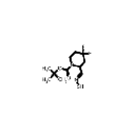 CC(C)(C)OC(=O)N1CCC(F)(F)CC1/C=N/S